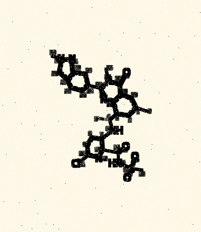 Cc1cc([C@@H](C)Nc2ccc(Cl)nc2C(=O)NS(C)(=O)=O)c2nc(-c3ccc4cn(C)nc4c3)n(C)c(=O)c2c1